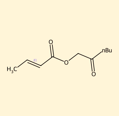 C/C=C/C(=O)OCC(=O)CCCC